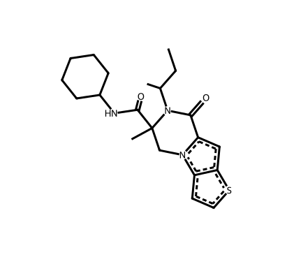 CCC(C)N1C(=O)c2cc3sccc3n2CC1(C)C(=O)NC1CCCCC1